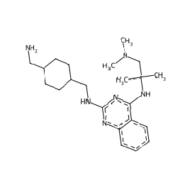 CN(C)CC(C)(C)Nc1nc(NCC2CCC(CN)CC2)nc2ccccc12